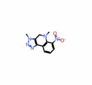 CN1Cc2c(nnn2C)-c2cccc([N+](=O)[O-])c21